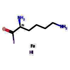 I.NCCCC[C@H](N)C(=O)I.[Fe]